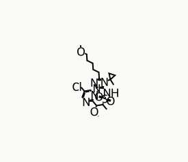 COCCCCCc1nnc(NS(=O)(=O)C(C)C(OC)c2ncc(Cl)cn2)n1C1(C)CC1